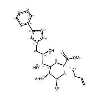 C=CCO[C@]1(C(=O)OC)C[C@@H](O)[C@@H](NC(C)=O)C([C@H](O)[C@H](O)Cn2cc(-c3ccccc3)nn2)O1